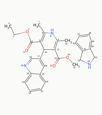 CCOC(=O)C1=C(C)NC(C)=C(C(=O)OC)C1c1cnc2ccccc2c1.c1ccc2c(c1)CNC2